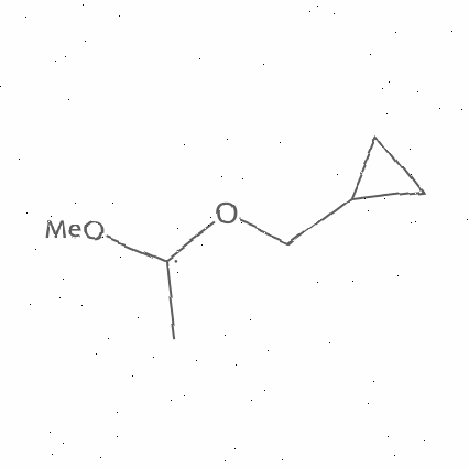 CO[C](C)OCC1CC1